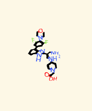 NC/C(=C\NC1CCN(CC(=O)O)CC1)c1nc2c(-c3cc(F)c(N4CCOCC4)c(F)c3)cccc2[nH]1